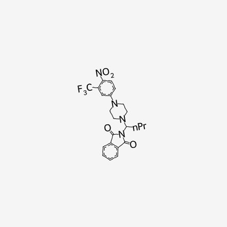 CCCC(N1CCN(c2ccc([N+](=O)[O-])c(C(F)(F)F)c2)CC1)N1C(=O)c2ccccc2C1=O